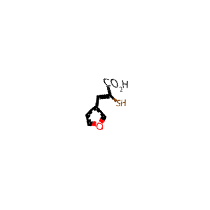 O=C(O)C(S)=Cc1ccoc1